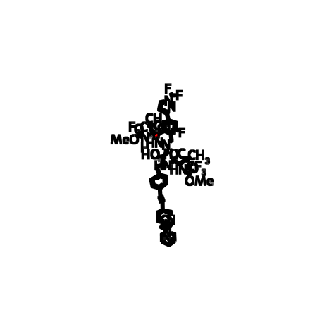 COC(=O)NC(C(=O)N[C@@H](Cc1ccc(C#Cc2ccc(N3CC4CC(C3)N4C3COC3)nc2)cc1)[C@@H](O)CN(Cc1c(F)cc(-c2ccn(C(F)F)n2)cc1F)NC(=O)[C@@H](NC(=O)OC)C(C)(C)C(F)(F)F)C(C)(C)C(F)(F)F